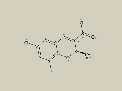 Cc1cc(Cl)cc2c1O[C@H](C(F)(F)F)C(C(=O)Cl)=C2